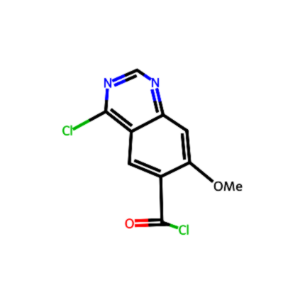 COc1cc2ncnc(Cl)c2cc1C(=O)Cl